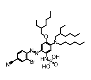 CCCCCCN(CC(CC)CCCC)c1cc(NP(=O)(O)O)c(N=Nc2ccc(C#N)cc2Br)cc1OCC(CC)CCCC